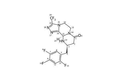 O=C1C[C@@H](Cc2cc(F)c(F)cc2F)N[C@H]2c3nnc(C(F)(F)F)n3CCN12